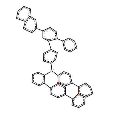 c1ccc(-c2ccc(-c3ccccc3N(c3ccc(-c4ccccc4)cc3)c3ccc(-c4cc(-c5ccc6ccccc6c5)ccc4-c4ccccc4)cc3)cc2)cc1